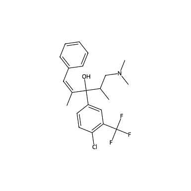 CC(=Cc1ccccc1)C(O)(c1ccc(Cl)c(C(F)(F)F)c1)C(C)CN(C)C